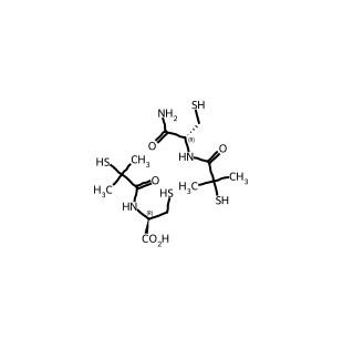 CC(C)(S)C(=O)N[C@@H](CS)C(=O)O.CC(C)(S)C(=O)N[C@@H](CS)C(N)=O